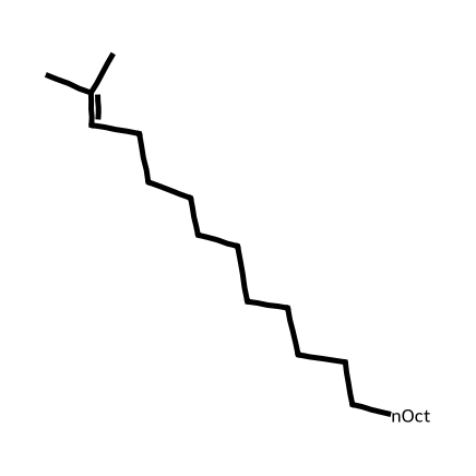 CCCCCCCCCCCCCCCCCCC=C(C)C